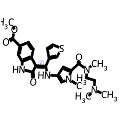 COC(=O)c1ccc2c(c1)NC(=O)/C2=C(\Nc1cc(C(=O)N(C)CCN(C)C)n(C)c1)c1ccsc1